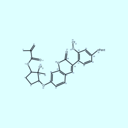 C=C(C)C(=O)OC1CCC(Oc2ccc3cc(-c4ccc(CCCCC)cc4OC(F)(F)F)c(=O)oc3c2)C1(C)C(F)(F)F